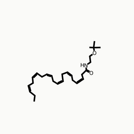 CC/C=C\C/C=C\C/C=C\C/C=C\C/C=C\C/C=C\CC(=O)NCCOC(C)(C)C